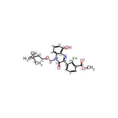 COC(=O)c1cccc(-c2nc3c(O)cccc3n(COCC[Si](C)(C)C)c2=O)c1F